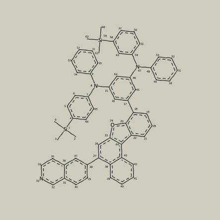 C[Si](C)(C)c1ccc(N(c2ccccc2)c2cc(-c3cccc4c3oc3cc(-c5ccc6cnccc6c5)c5ccccc5c34)cc(N(c3ccccc3)c3cccc([Si](C)(C)C)c3)c2)cc1